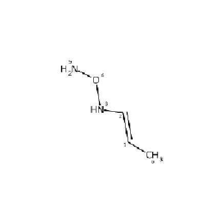 C/C=C/NON